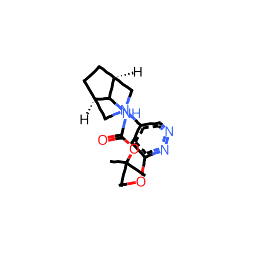 COc1cc(N2C[C@H]3CC[C@@H](C2)C3NC(=O)OC(C)(C)C)cnn1